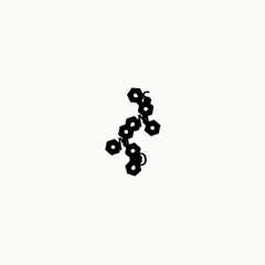 c1ccc(N(c2ccc3ccc(N(c4ccccc4)c4ccc5sc6ccccc6c5c4)cc3c2)c2ccc3oc4ccccc4c3c2)cc1